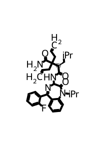 C=CCC(CC=C)(C(N)=O)[C@@H](CC(C)C)C(=O)NC1N=C(c2ccccc2F)c2ccccc2N(C(C)C)C1=O